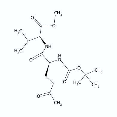 COC(=O)[C@@H](NC(=O)[C@H](CCC(C)=O)NC(=O)OC(C)(C)C)C(C)C